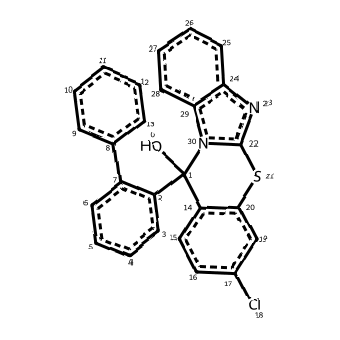 OC1(c2ccccc2-c2ccccc2)c2ccc(Cl)cc2Sc2nc3ccccc3n21